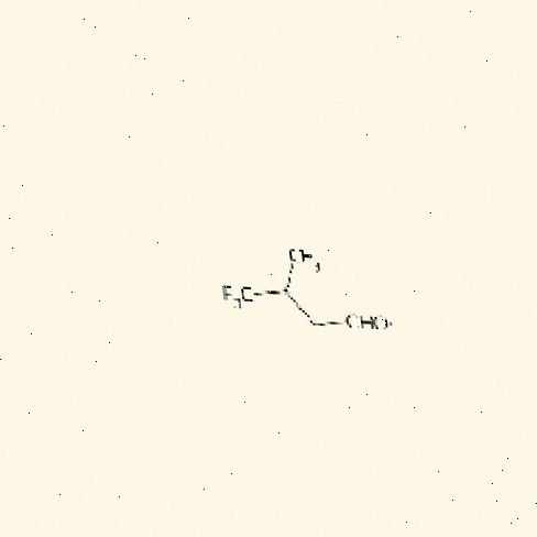 O=[C]CC(C(F)(F)F)C(F)(F)F